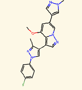 COc1cc(-c2cnn(C)c2)cn2ncc(-c3cn(-c4ccc(F)cc4)nc3C)c12